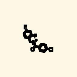 CN(Cc1ccc(F)cc1F)C(=O)c1ccc(Cl)cc1